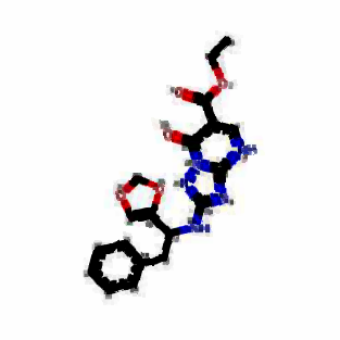 CCOC(=O)c1c[nH]c2nc(NC(Cc3ccccc3)C3=COCO3)nn2c1=O